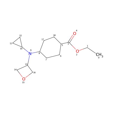 CCOC(=O)C1CCC(N(C2CC2)C2COC2)CC1